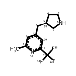 Cc1cc(C[C@H]2CCNC2)cc(C(F)(F)F)n1